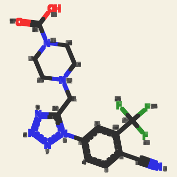 N#Cc1ccc(-n2nnnc2CN2CCN(C(=O)O)CC2)cc1C(F)(F)F